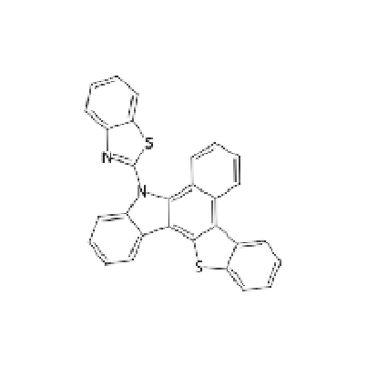 c1ccc2sc(-n3c4ccccc4c4c5sc6ccccc6c5c5ccccc5c43)nc2c1